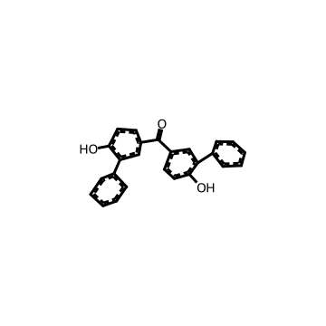 O=C(c1ccc(O)c(-c2ccccc2)c1)c1ccc(O)c(-c2ccccc2)c1